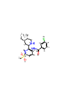 CCOC(=O)CC1CCNC(c2nc(S(C)(=O)=O)ccc2NC(=O)c2cccc(Cl)c2)C1